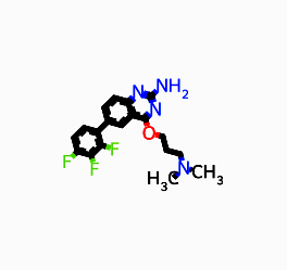 CN(C)CCCOc1nc(N)nc2ccc(-c3ccc(F)c(F)c3F)cc12